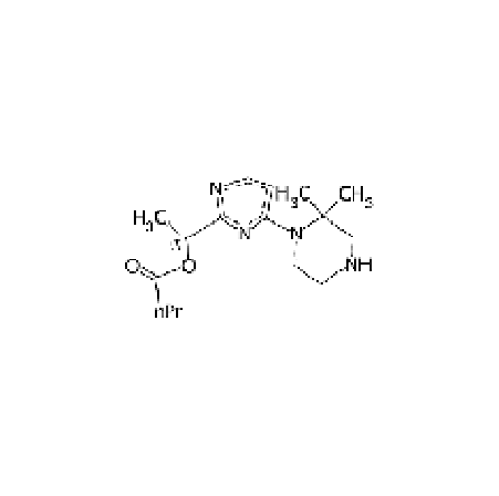 CCCC(=O)O[C@H](C)c1nccc(N2CCNCC2(C)C)n1